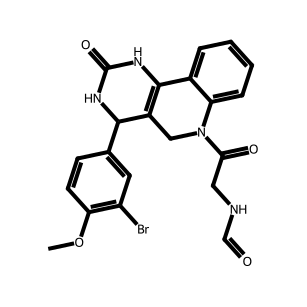 COc1ccc(C2NC(=O)NC3=C2CN(C(=O)CNC=O)c2ccccc23)cc1Br